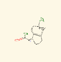 O=C(Cl)/C=C1/CCc2cc(Cl)ccc21